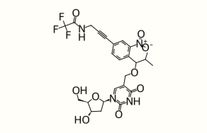 CC(C)C(OCc1cn([C@H]2C[C@@H](O)[C@@H](CO)O2)c(=O)[nH]c1=O)c1ccc(C#CCNC(=O)C(F)(F)F)cc1[N+](=O)[O-]